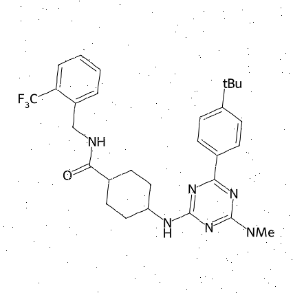 CNc1nc(NC2CCC(C(=O)NCc3ccccc3C(F)(F)F)CC2)nc(-c2ccc(C(C)(C)C)cc2)n1